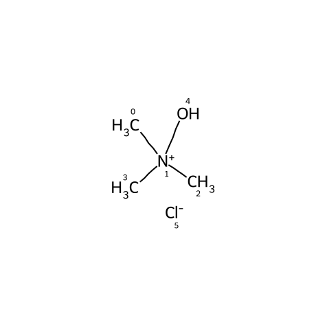 C[N+](C)(C)O.[Cl-]